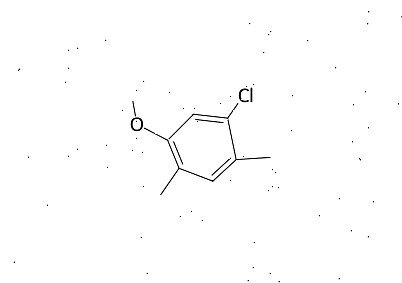 COc1cc(Cl)c(C)cc1C